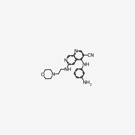 N#Cc1cnc2cnc(NCCN3CCOCC3)cc2c1Nc1cccc(N)c1